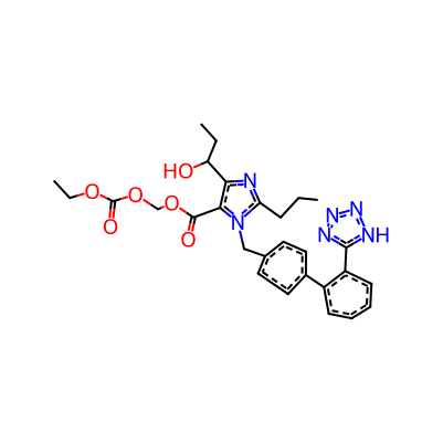 CCCc1nc(C(O)CC)c(C(=O)OCOC(=O)OCC)n1Cc1ccc(-c2ccccc2-c2nnn[nH]2)cc1